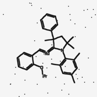 Cc1cc(C)c(N2[C](=[Ru]=[CH]c3ccccc3OC(C)C)C(C)(c3ccccc3)CC2(C)C)c(C)c1